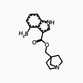 Bc1cccc2[nH]cc(C(=O)OCC34CCN(CC3)C4)c12